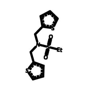 CCS(=O)(=O)N(Cc1cccs1)Cc1cccs1